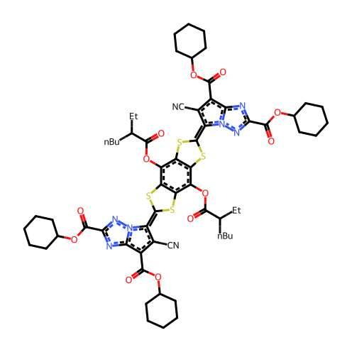 CCCCC(CC)C(=O)Oc1c2c(c(OC(=O)C(CC)CCCC)c3c1SC(=c1c(C#N)c(C(=O)OC4CCCCC4)c4nc(C(=O)OC5CCCCC5)nn14)S3)SC(=c1c(C#N)c(C(=O)OC3CCCCC3)c3nc(C(=O)OC4CCCCC4)nn13)S2